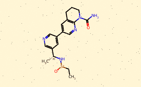 CC[S+]([O-])N[C@H](C)c1cncc(-c2cnc3c(c2)CCCN3C(N)=O)c1